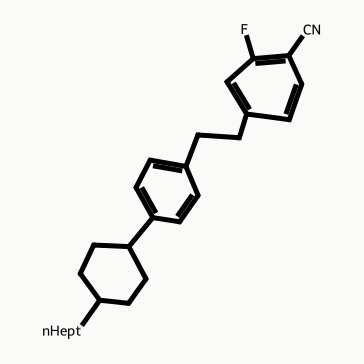 CCCCCCCC1CCC(c2ccc(CCc3ccc(C#N)c(F)c3)cc2)CC1